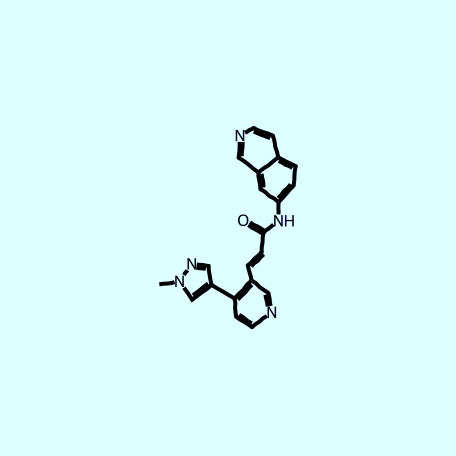 Cn1cc(-c2ccncc2/C=C/C(=O)Nc2ccc3ccncc3c2)cn1